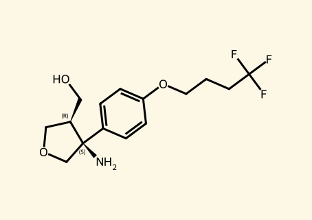 N[C@@]1(c2ccc(OCCCC(F)(F)F)cc2)COC[C@H]1CO